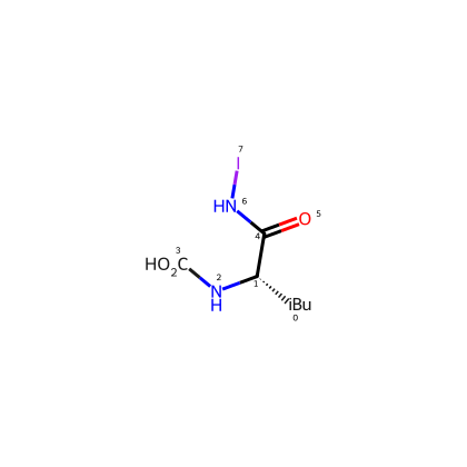 CCC(C)[C@H](NC(=O)O)C(=O)NI